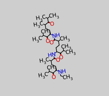 CCNC(CCC(C)C(=O)NC(CCC(C)C(=O)NC(CCC(C)C(=O)C(C)C)C(=O)C(C)C)C(=O)C(C)C)C(=O)C(C)C